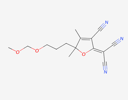 COCOCCCC1(C)OC(=C(C#N)C#N)C(C#N)=C1C